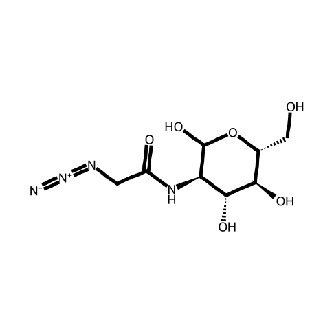 [N-]=[N+]=NCC(=O)N[C@H]1C(O)O[C@H](CO)[C@@H](O)[C@@H]1O